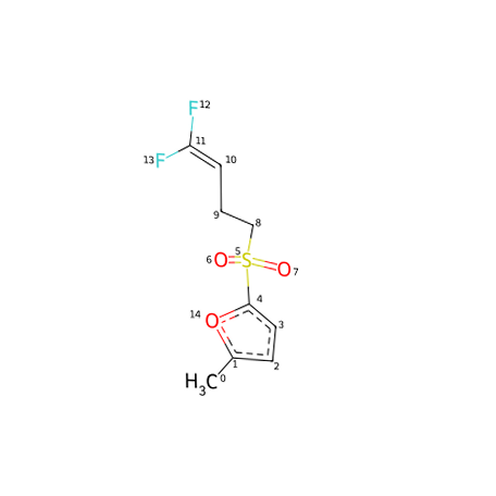 Cc1ccc(S(=O)(=O)CCC=C(F)F)o1